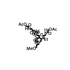 CCN(C(=O)CNC(=O)COC(C)=O)[C@H]1CN(CCCOC)S(=O)(=O)c2sc(S(=O)(=O)NC(=O)CNC(=O)COC(C)=O)cc21